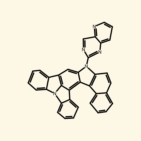 c1ccc2c(c1)ccc1c2c2c3c4ccccc4n4c5ccccc5c(cc2n1-c1ncc2ncccc2n1)c34